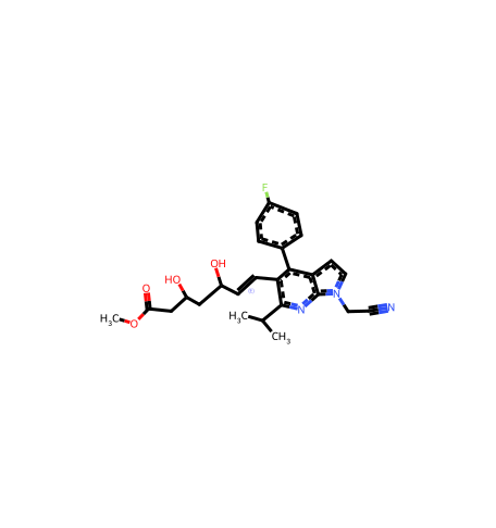 COC(=O)CC(O)CC(O)/C=C/c1c(C(C)C)nc2c(ccn2CC#N)c1-c1ccc(F)cc1